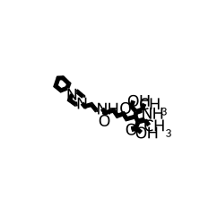 CC1=C(C(=O)O)C(CCCCC(=O)NCCCN2CCN(C3CCCCC3)CC2)C(C(=O)O)=C(C)N1